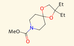 CCC1(CC)COC2(CCN(C(=O)OC)CC2)O1